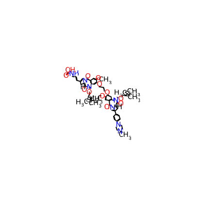 COc1cc2c(cc1OCCCOc1cc3c(cc1OC)C(=O)N1C=C(c4ccc(N5CCN(C)CC5)cc4)C[C@H]1C(=O)N3COCC[Si](C)(C)C)N(COCC[Si](C)(C)C)C(=O)[C@@H]1CC(C=CCNC(=O)O)=CN1C2=O